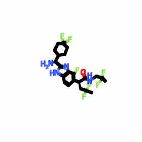 CC(F)(F)CNC(=O)[C@@H](CC(C)(F)F)c1ccc2[nH]c([C@@H](N)C3CCC(F)(F)CC3)nc2c1F